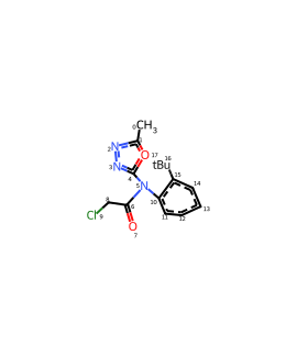 Cc1nnc(N(C(=O)CCl)c2ccccc2C(C)(C)C)o1